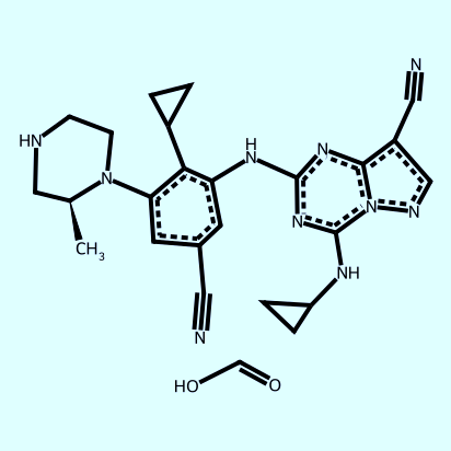 C[C@H]1CNCCN1c1cc(C#N)cc(Nc2nc(NC3CC3)n3ncc(C#N)c3n2)c1C1CC1.O=CO